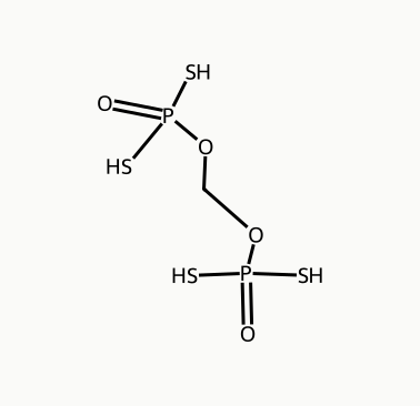 O=P(S)(S)OCOP(=O)(S)S